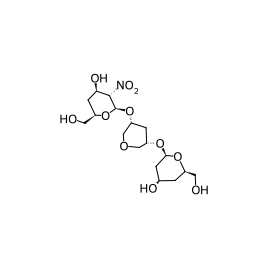 O=[N+]([O-])[C@@H]1[C@@H](O[C@H]2COC[C@@H](O[C@@H]3C[C@H](O)C[C@H](CO)O3)C2)O[C@@H](CO)C[C@H]1O